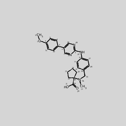 COc1ccc(-c2cnc(Nc3ccc(CN(C)C4(C(=O)O)CCCC4)cc3)nc2)cc1